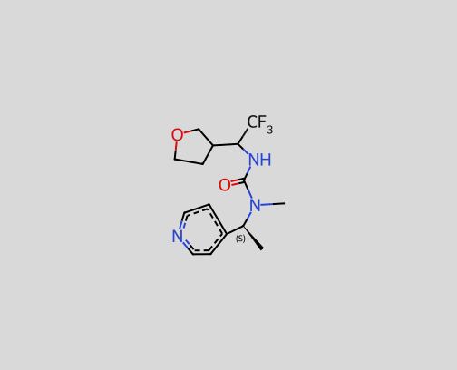 C[C@@H](c1ccncc1)N(C)C(=O)NC(C1CCOC1)C(F)(F)F